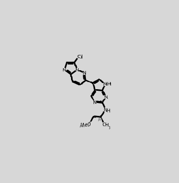 COC[C@H](C)Nc1ncc2c(-c3ccc4ncc(Cl)n4n3)c[nH]c2n1